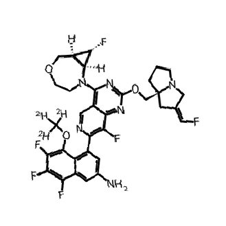 [2H]C([2H])([2H])Oc1c(F)c(F)c(F)c2cc(N)cc(-c3ncc4c(N5CCOC[C@H]6[C@H](F)[C@H]65)nc(OC[C@@]56CCCN5C/C(=C\F)C6)nc4c3F)c12